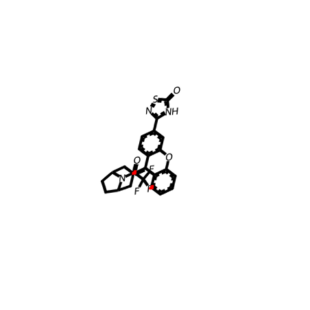 O=C(N1C2CCC1CC(=C1c3ccccc3Oc3cc(-c4nsc(=O)[nH]4)ccc31)C2)C(F)(F)F